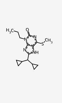 CCCn1c(=O)nc(SC)c2[nH]c(C(C3CC3)C3CC3)nc21